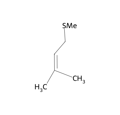 [CH2]SCC=C(C)C